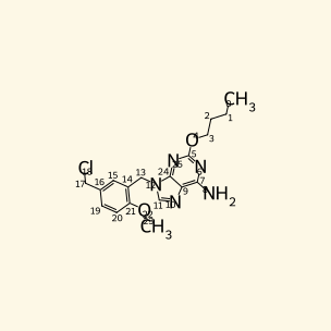 CCCCOc1nc(N)c2ncn(Cc3cc(CCl)ccc3OC)c2n1